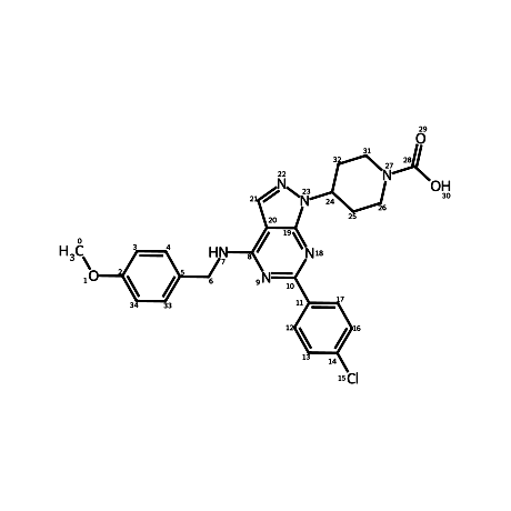 COc1ccc(CNc2nc(-c3ccc(Cl)cc3)nc3c2cnn3C2CCN(C(=O)O)CC2)cc1